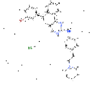 Brc1cccc([C@@H]2Cc3cnc(Nc4ccc(CCN5CCCCC5)cc4)nc3-c3ccccc32)c1.Cl